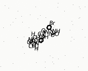 Cc1noc(C)c1S(=O)(=O)Nc1ccc2cc(C(=O)Nc3ccc(Br)cc3-c3noc(=O)[nH]3)n(C)c2c1